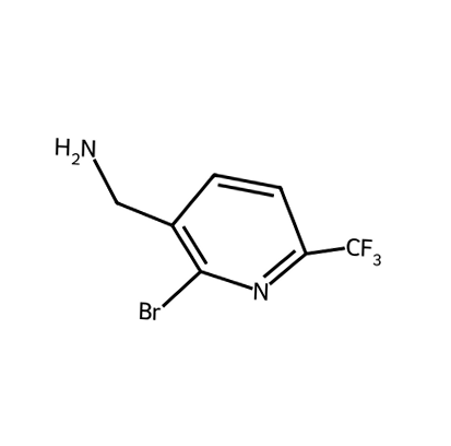 NCc1ccc(C(F)(F)F)nc1Br